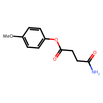 COc1ccc(OC(=O)CCC(N)=O)cc1